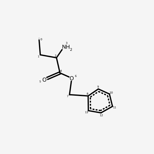 [CH2]CC(N)C(=O)OCc1ccccc1